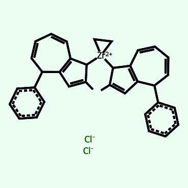 CC1=CC2=C(C=CC=CC2c2ccccc2)[CH]1[Zr+2]1([CH]2C(C)=CC3=C2C=CC=CC3c2ccccc2)[CH2][CH2]1.[Cl-].[Cl-]